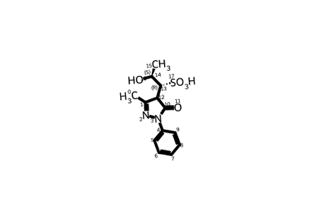 CC1=NN(c2ccccc2)C(=O)C1[C@H]([C@H](C)O)S(=O)(=O)O